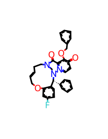 O=C1c2c(OCc3ccccc3)c(=O)ccn2N2CN1CC/C=C/COc1cc(F)ccc1[C@H]2c1ccccc1